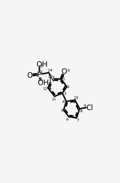 O=c1cc(-c2cccc(Cl)c2)ccn1CP(=O)(O)O